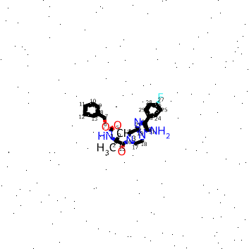 CC(C)(NC(=O)OCc1ccccc1)C(=O)N1CCn2c(nc(-c3ccc(F)cc3)c2N)C1